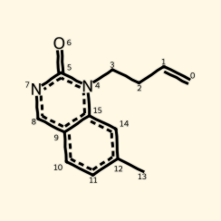 C=CCCn1c(=O)ncc2ccc(C)cc21